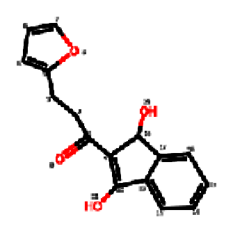 O=C(CCc1ccco1)C1=C(O)c2ccccc2C1O